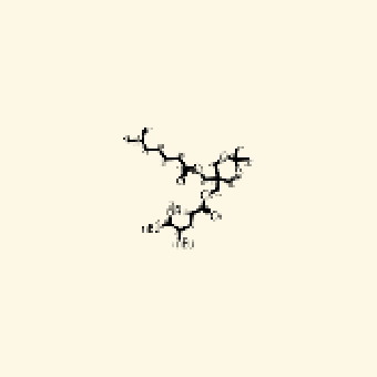 CCCCC(CCCC)C(CCCC)CCC(=O)OCC1(COC(=O)CCCCN(C)C)COC(C)(C)OC1